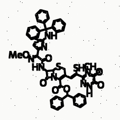 CON=C(C(=O)NC1C(=O)N2C(C(=O)OC(c3ccccc3)c3ccccc3)=C(C=C(S)c3n[nH]c(=O)c(=O)n3C)CSC12)c1csc(NC(c2ccccc2)(c2ccccc2)c2ccccc2)n1